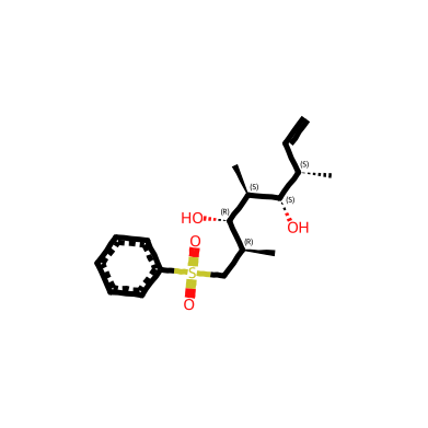 C=C[C@H](C)[C@H](O)[C@H](C)[C@@H](O)[C@@H](C)CS(=O)(=O)c1ccccc1